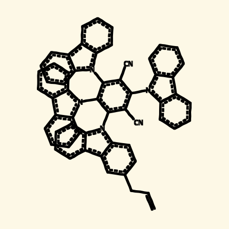 C=CCc1ccc2c(c1)c1ccccc1n2-c1c(C#N)c(-n2c3ccccc3c3ccccc32)c(C#N)c(-n2c3ccccc3c3ccccc32)c1-n1c2ccccc2c2ccccc21